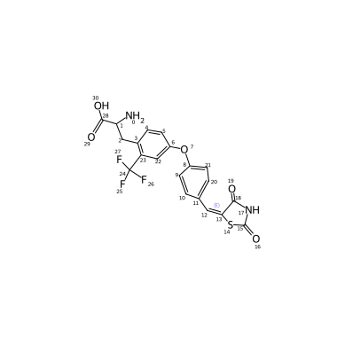 NC(Cc1ccc(Oc2ccc(/C=C3/SC(=O)NC3=O)cc2)cc1C(F)(F)F)C(=O)O